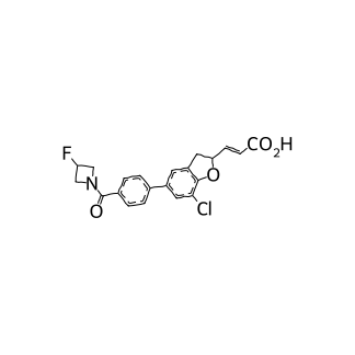 O=C(O)C=CC1Cc2cc(-c3ccc(C(=O)N4CC(F)C4)cc3)cc(Cl)c2O1